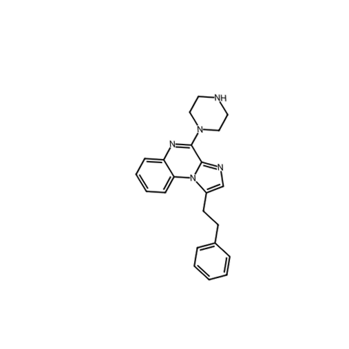 c1ccc(CCc2cnc3c(N4CCNCC4)nc4ccccc4n23)cc1